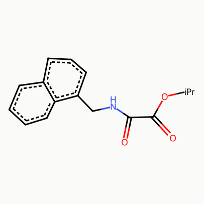 CC(C)OC(=O)C(=O)NCc1cccc2ccccc12